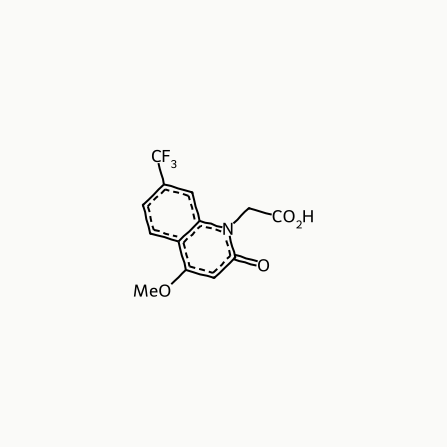 COc1cc(=O)n(CC(=O)O)c2cc(C(F)(F)F)ccc12